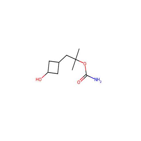 CC(C)(CC1CC(O)C1)OC(N)=O